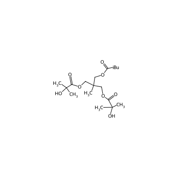 CCC(C)C(=O)OCC(C)(COC(=O)C(C)(C)O)COC(=O)C(C)(C)O